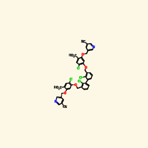 N#Cc1cncc(COc2cc(OCc3cccc(-c4cccc(COc5cc(OCc6cncc(C#N)c6)c(C(=O)O)cc5Cl)c4Cl)c3Cl)c(Cl)cc2C(=O)O)c1